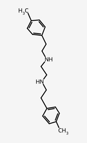 Cc1ccc(CCNCCNCCc2ccc(C)cc2)cc1